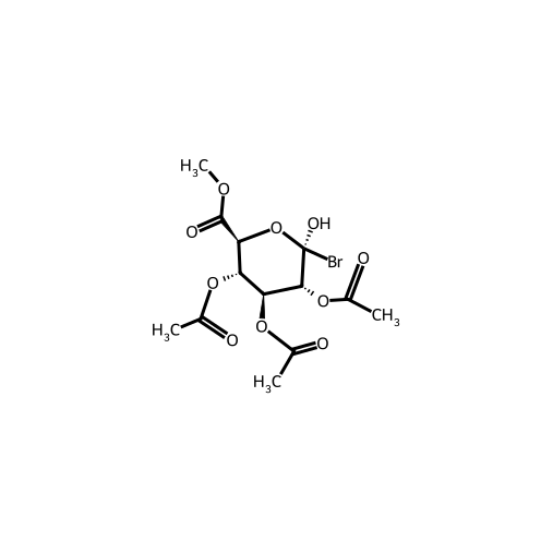 COC(=O)[C@H]1O[C@@](O)(Br)[C@H](OC(C)=O)[C@@H](OC(C)=O)[C@@H]1OC(C)=O